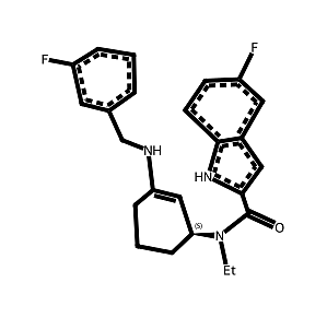 CCN(C(=O)c1cc2cc(F)ccc2[nH]1)[C@@H]1C=C(NCc2cccc(F)c2)CCC1